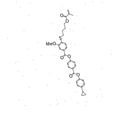 C=C(C)C(=O)OCCCCSc1ccc(C(=O)Oc2ccc(C(=O)Oc3ccc(C4CC4)cc3)cc2)cc1OC